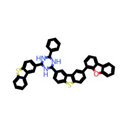 c1ccc(C2NC(c3ccc4sc5ccccc5c4c3)NC(c3ccc4sc5ccc(-c6cccc7c6oc6ccccc67)cc5c4c3)N2)cc1